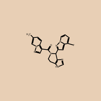 Cc1ccc2c(C(=O)N3CCc4[nH]cnc4C3c3cc4c(F)cccn4n3)cnn2c1